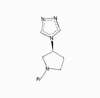 CC(C)N1CC[C@H](n2cnnc2)C1